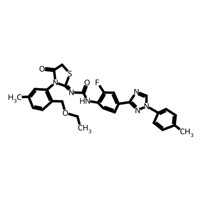 CCOCc1ccc(C)cc1N1C(=O)CS/C1=N\C(=O)Nc1ccc(-c2ncn(-c3ccc(C)cc3)n2)cc1F